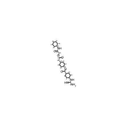 N=C(N)Nc1ccc(C(=O)Oc2ccc(CC(=O)OCC(=O)Nc3ccccc3)cc2)cc1